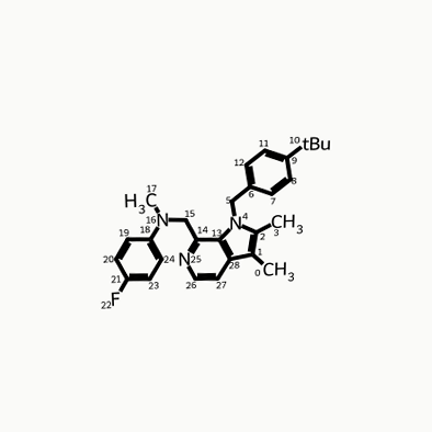 Cc1c(C)n(Cc2ccc(C(C)(C)C)cc2)c2c(CN(C)c3ccc(F)cc3)nccc12